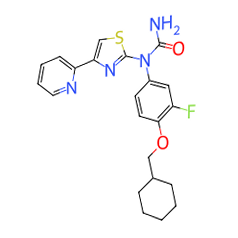 NC(=O)N(c1ccc(OCC2CCCCC2)c(F)c1)c1nc(-c2ccccn2)cs1